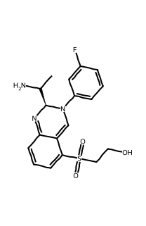 CC(N)[C@@H]1N=c2cccc(S(=O)(=O)CCO)c2=CN1c1cccc(F)c1